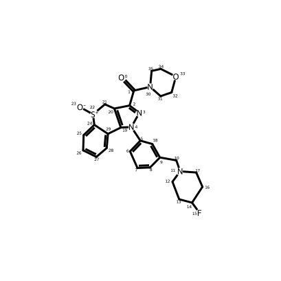 O=C(c1nn(-c2cccc(CN3CCC(F)CC3)c2)c2c1C[S+]([O-])c1ccccc1-2)N1CCOCC1